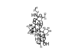 C=CCNC(=O)C(=O)C(CCCC)NC(=O)[C@@H]1[C@@H]2[C@H](CN1C(=O)[C@@H](NC(=O)N[C@@H](C(=C)C)C(=O)O)C1CCCCC1)C2(C)C